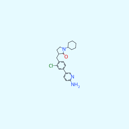 Nc1ccc(-c2ccc(CC3CCN(C4CCCCC4)C3=O)c(Cl)c2)cn1